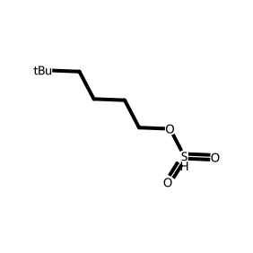 CC(C)(C)CCCCO[SH](=O)=O